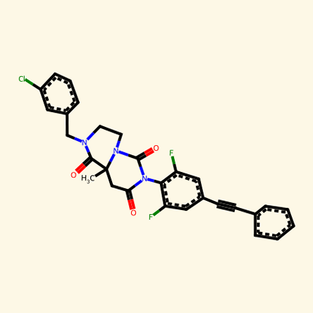 CC12CC(=O)N(c3c(F)cc(C#Cc4ccccc4)cc3F)C(=O)N1CCN(Cc1cccc(Cl)c1)C2=O